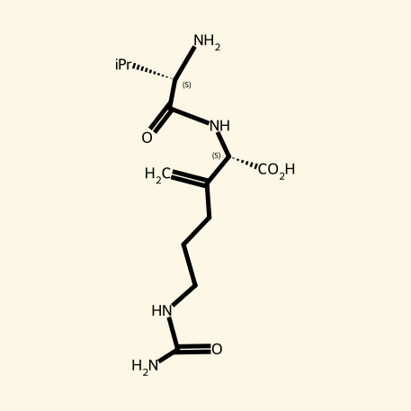 C=C(CCCNC(N)=O)[C@H](NC(=O)[C@@H](N)C(C)C)C(=O)O